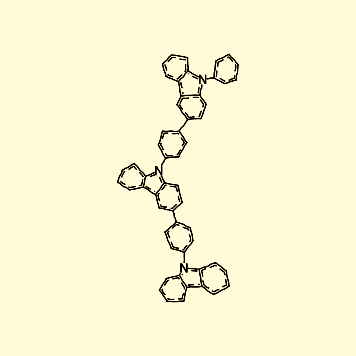 c1ccc(-n2c3ccccc3c3cc(-c4ccc(-n5c6ccccc6c6cc(-c7ccc(-n8c9ccccc9c9ccccc98)cc7)ccc65)cc4)ccc32)cc1